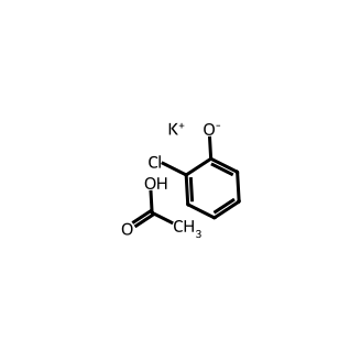 CC(=O)O.[K+].[O-]c1ccccc1Cl